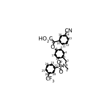 CN(Cc1ccc(OC(C(=O)O)c2cccc(C#N)c2)cc1)S(=O)(=O)c1cccc(C(F)(F)F)c1